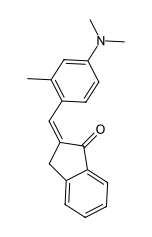 Cc1cc(N(C)C)ccc1C=C1Cc2ccccc2C1=O